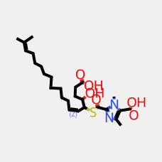 CC(C)=CCCCCCCCCC/C=C\C(SC(=O)c1nc(C)c(C(=O)O)n1C)C(O)CCC(=O)O